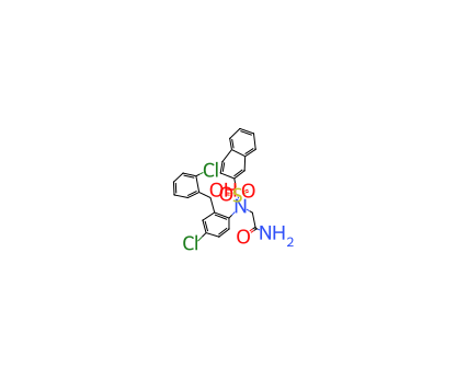 NC(=O)CN(c1ccc(Cl)cc1C(O)c1ccccc1Cl)S(=O)(=O)c1ccc2ccccc2c1